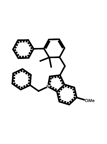 COc1ccc2c(c1)c(CC1C=CC=C(c3ccccc3)C1(C)C)cn2Cc1ccccc1